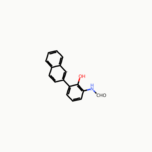 O=CNc1cccc(-c2[c]c3ccccc3cc2)c1O